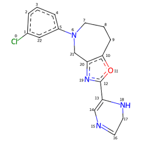 Clc1cccc(N2CCCc3oc(C4=CN=CCN4)nc3C2)c1